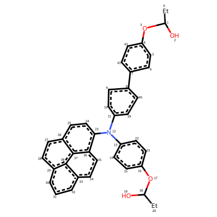 CCC(O)Oc1ccc(-c2ccc(N(c3ccc(OC(O)CC)cc3)c3ccc4ccc5cccc6ccc3c4c56)cc2)cc1